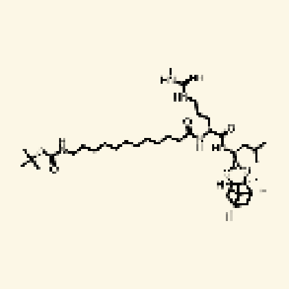 CNC(=N)NCCC[C@H](NC(=O)CCCCCCCCCCCNC(=O)OC(C)(C)C)C(=O)N[C@@H](CC(C)C)B1O[C@@H]2C[C@@H]3C[C@@H](C3(C)C)[C@]2(C)O1